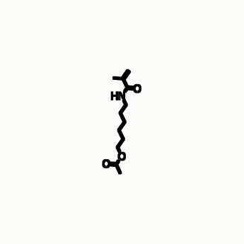 C=C(C)C(=O)NCCCCCCOC(C)=O